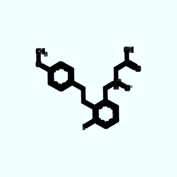 COc1ccc(CCc2c(I)cccc2C[NH+]([O-])CC(=O)O)cc1